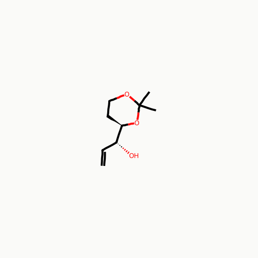 C=C[C@@H](O)[C@H]1CCOC(C)(C)O1